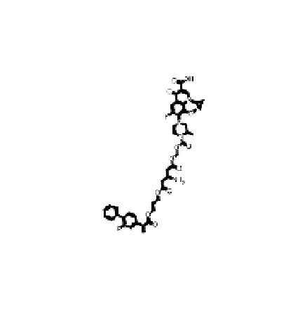 COc1c(N2CCN(C(=O)OCOC(=O)CC(N)CC(=O)OCCCOC(=O)C(C)c3ccc(-c4ccccc4)c(F)c3)C(C)C2)c(F)cc2c(=O)c(C(=O)O)cn(C3CC3)c12